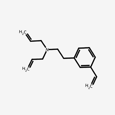 C=CCN(CC=C)CCc1cccc(C=C)c1